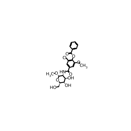 COc1cc(C(=O)N[C@H]2[C@@H](OC)O[C@H](CO)[C@@H](O)[C@@H]2O)cc(Cl)c1OC(=O)c1ccccc1